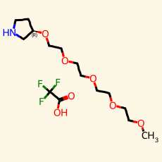 COCCOCCOCCOCCO[C@@H]1CCNC1.O=C(O)C(F)(F)F